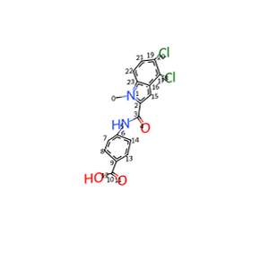 Cn1c(C(=O)Nc2ccc(C(=O)O)cc2)cc2c(Cl)c(Cl)ccc21